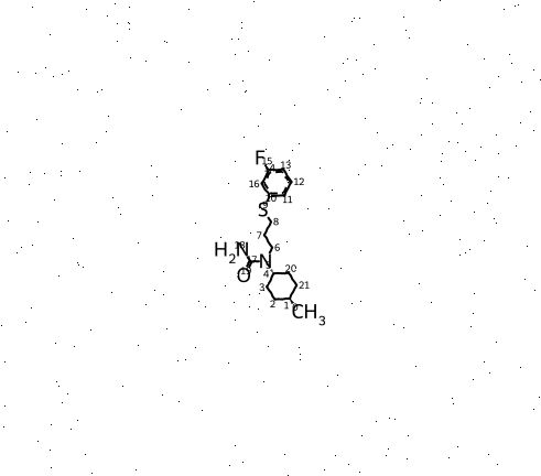 C[C@H]1CC[C@H](N(CCCSc2cccc(F)c2)C(N)=O)CC1